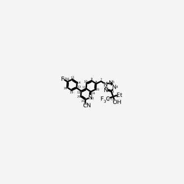 CCC(O)(c1nnn(Cc2ccc3c(-c4ccc(F)cc4)cc(C#N)nc3c2)n1)C(F)(F)F